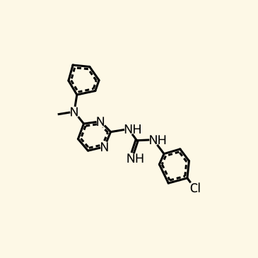 CN(c1ccccc1)c1ccnc(NC(=N)Nc2ccc(Cl)cc2)n1